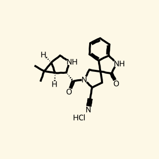 CC1(C)[C@@H]2[C@@H](C(=O)N3CC4(CC3C#N)C(=O)Nc3ccccc34)NC[C@@H]21.Cl